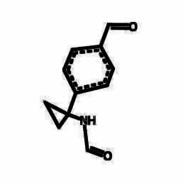 O=CNC1(c2ccc(C=O)cc2)CC1